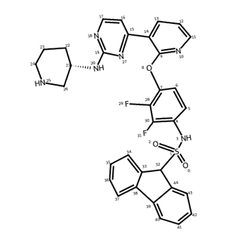 O=S(=O)(Nc1ccc(Oc2ncccc2-c2ccnc(N[C@H]3CCCNC3)n2)c(F)c1F)C1c2ccccc2-c2ccccc21